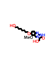 COc1c(OCCCCCCCCO)ccc2c1CN1C(=N2)NC(=O)C1CO